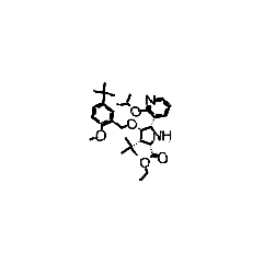 CCOC(=O)[C@H]1N[C@@H](c2cccnc2OC(C)C)[C@@H](OCc2cc(C(C)(C)C)ccc2OC)[C@H]1C(C)(C)C